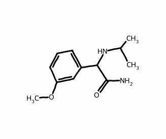 COc1cccc(C(NC(C)C)C(N)=O)c1